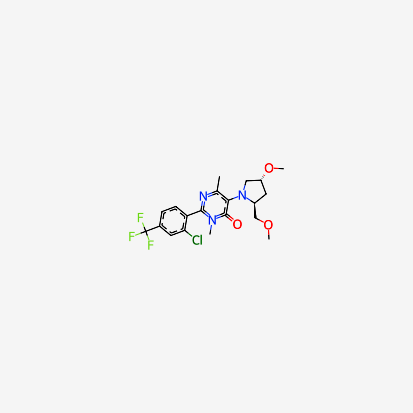 COC[C@@H]1C[C@@H](OC)CN1c1c(C)nc(-c2ccc(C(F)(F)F)cc2Cl)n(C)c1=O